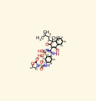 CC(C)CCC1(C)C(=O)C(C2=NS(O)(O)c3cc(NS(=O)(=O)N4CCOC4=O)ccc3N2)=C(O)c2ccccc21